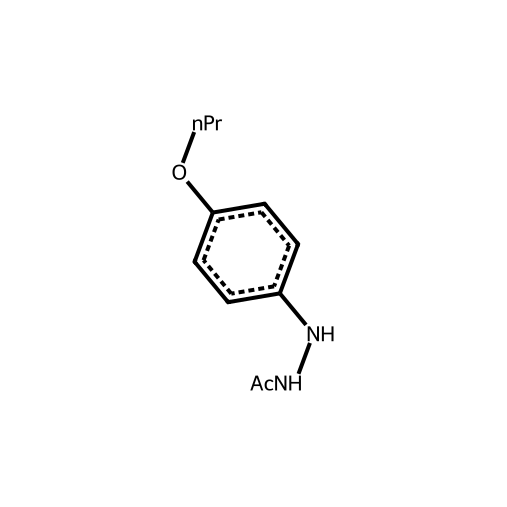 CCCOc1ccc(NNC(C)=O)cc1